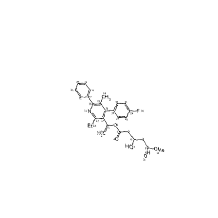 C=C(OC(=O)CC(O)C[PH](=O)OC)c1c(CC)nc(-c2ccccc2)c(C)c1-c1ccc(F)cc1